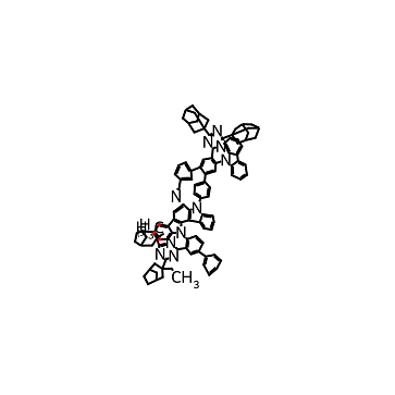 CCC1(c2nc(-c3cc(-c4ccccc4)ccc3-n3c4ccccc4c4ccc5c(c6ccccc6n5-c5ccc(-c6cc(-n7c8ccccc8c8ccccc87)c(-c7nc(C89CC%10CC(CC(C%10)C8)C9)nc(C89CC%10CC(CC(C%10)C8)C9)n7)cc6-c6cccc(C#N)c6)cc5)c43)nc(C3(CC)CC4CC[C@@H](C4)C3)n2)CC2CCC(C2)C1